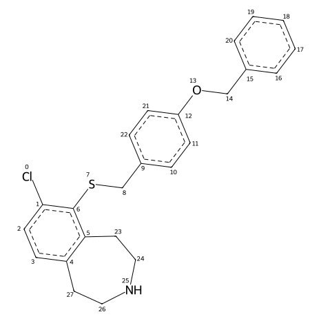 Clc1ccc2c(c1SCc1ccc(OCc3ccccc3)cc1)CCNCC2